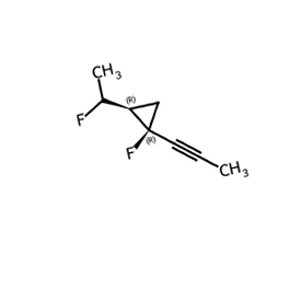 CC#C[C@@]1(F)C[C@@H]1C(C)F